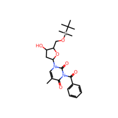 Cc1cn(C2CC(O)C(CO[Si](C)(C)C(C)(C)C)O2)c(=O)n(C(=O)c2ccccc2)c1=O